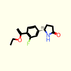 C=C(OCC)c1ccc([C@@H]2CCC(=O)N2)cc1F